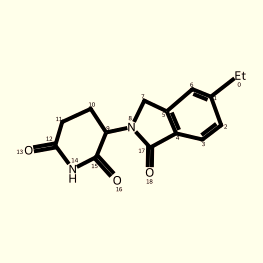 CCc1ccc2c(c1)CN(C1CCC(=O)NC1=O)C2=O